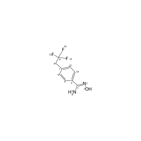 NC(=NO)c1ccc(CC(F)(F)F)cc1